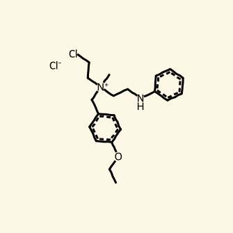 CCOc1ccc(C[N+](C)(CCCl)CCNc2ccccc2)cc1.[Cl-]